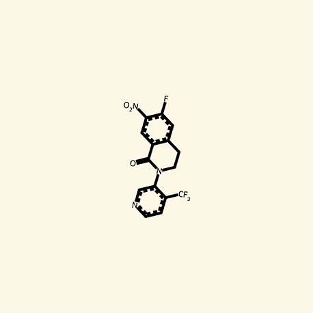 O=C1c2cc([N+](=O)[O-])c(F)cc2CCN1c1cnccc1C(F)(F)F